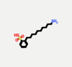 NCCCCCCCCCCc1ccccc1S(=O)(=O)O